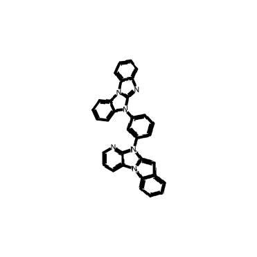 c1cc(-n2c3ncccc3n3c4ccccc4cc23)cc(-n2c3ccccc3n3c4ccccc4nc23)c1